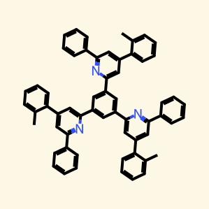 Cc1ccccc1-c1cc(-c2ccccc2)nc(-c2cc(-c3cc(-c4ccccc4C)cc(-c4ccccc4)n3)cc(-c3cc(-c4ccccc4C)cc(-c4ccccc4)n3)c2)c1